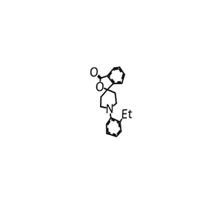 CCc1ccccc1N1CCC2(CC1)OC(=O)c1ccccc12